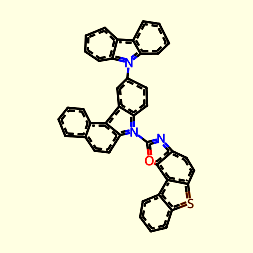 c1ccc2c(c1)ccc1c2c2cc(-n3c4ccccc4c4ccccc43)ccc2n1-c1nc2ccc3sc4ccccc4c3c2o1